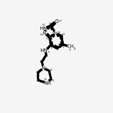 Cc1cc(NCCN2CCNCC2)c2n[nH]c(=O)n2c1